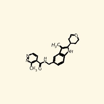 Cc1nnccc1C(=O)NCc1ccc2[nH]c(C3CCOCC3)c(C)c2c1